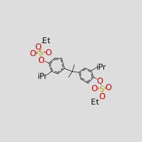 CCOS(=O)(=O)Oc1ccc(C(C)(C)c2ccc(OS(=O)(=O)OCC)c(C(C)C)c2)cc1C(C)C